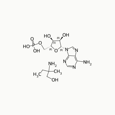 CCC(C)(N)CO.Nc1ncnc2c1ncn2[C@@H]1O[C@H](COP(=O)(O)O)[C@@H](O)[C@H]1O